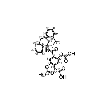 CC(C[C@@]1(NC(=O)c2cc(OC(=O)O)c(OC(=O)O)cc2OC(=O)O)CCCc2ccccc21)c1ccccc1